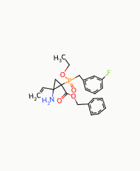 C=CC1(N)CC1(C(=O)OCc1ccccc1)P(=O)(Cc1cccc(F)c1)OCC